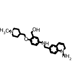 CN1CCC(COc2ccc(NCc3ccc4c(c3)C=CCN4N)cc2CO)CC1